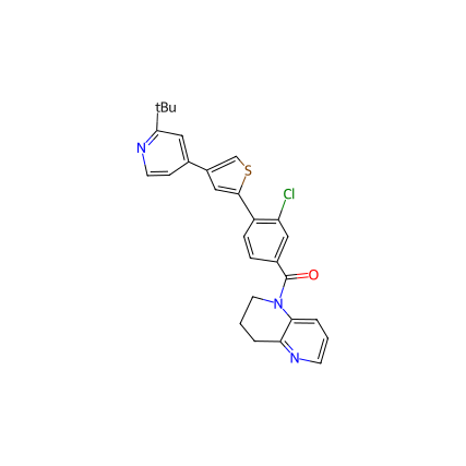 CC(C)(C)c1cc(-c2csc(-c3ccc(C(=O)N4CCCc5ncccc54)cc3Cl)c2)ccn1